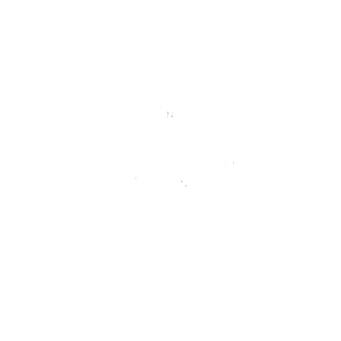 CCn1c2c(c3ccccc31)CCCCC2(C)CCN(C)C.Cl